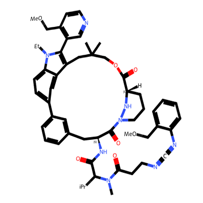 CCn1c(-c2cnccc2COC)c2c3cc(ccc31)-c1cccc(c1)C[C@H](NC(=O)C(C(C)C)N(C)C(=O)CCN=C=Nc1ccccc1COC)C(=O)N1CCC[C@H](N1)C(=O)OCC(C)(C)C2